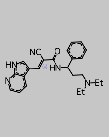 CCN(CC)CCC(NC(=O)/C(C#N)=C/c1c[nH]c2ncccc12)c1ccccc1